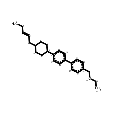 CCC=CCC1CCC(c2ccc(-c3ccc(COCC)cc3)cc2)CC1